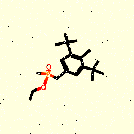 CCOP(C)(=O)Cc1cc(C(C)(C)C)c(C)c(C(C)(C)C)c1